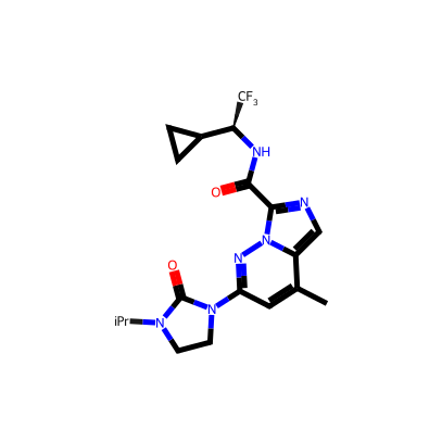 Cc1cc(N2CCN(C(C)C)C2=O)nn2c(C(=O)N[C@@H](C3CC3)C(F)(F)F)ncc12